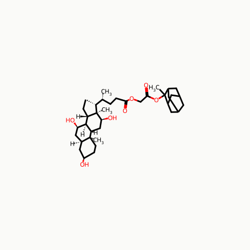 C[C@H](CCC(=O)OCC(=O)OC1(C)C2CC3CC(C2)CC1C3)[C@H]1CC[C@H]2[C@@H]3[C@H](O)C[C@@H]4C[C@H](O)CC[C@]4(C)[C@H]3C[C@H](O)[C@]12C